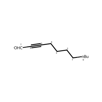 CCCCCCCCC#C[C]=O